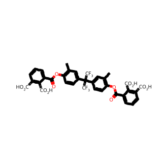 Cc1cc(C(c2ccc(OC(=O)c3cccc(C(=O)O)c3C(=O)O)c(C)c2)(C(F)(F)F)C(F)(F)F)ccc1OC(=O)c1cccc(C(=O)O)c1C(=O)O